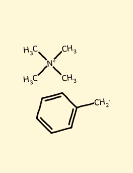 C[N+](C)(C)C.[CH2]c1ccccc1